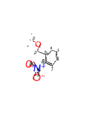 [C]OCc1ccccc1[N+](=O)[O-]